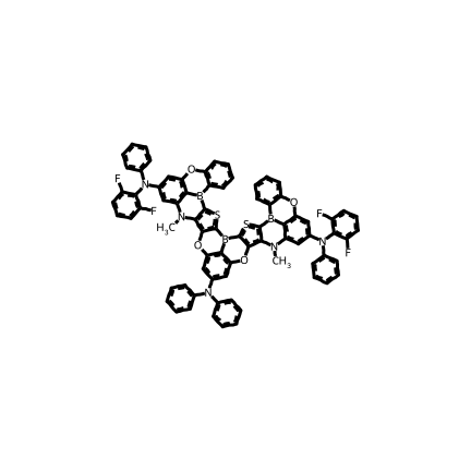 CN1c2cc(N(c3ccccc3)c3c(F)cccc3F)cc3c2B(c2ccccc2O3)c2sc3c(c21)Oc1cc(N(c2ccccc2)c2ccccc2)cc2c1B3c1sc3c(c1O2)N(C)c1cc(N(c2ccccc2)c2c(F)cccc2F)cc2c1B3c1ccccc1O2